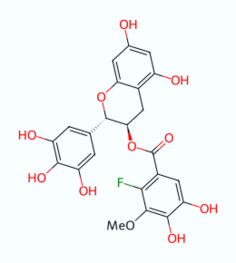 COc1c(O)c(O)cc(C(=O)O[C@@H]2Cc3c(O)cc(O)cc3O[C@H]2c2cc(O)c(O)c(O)c2)c1F